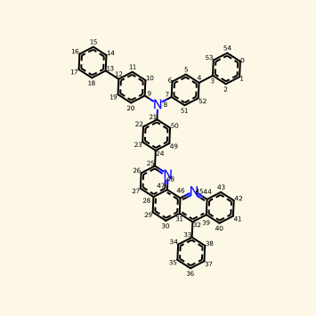 c1ccc(-c2ccc(N(c3ccc(-c4ccccc4)cc3)c3ccc(-c4ccc5ccc6c(-c7ccccc7)c7ccccc7nc6c5n4)cc3)cc2)cc1